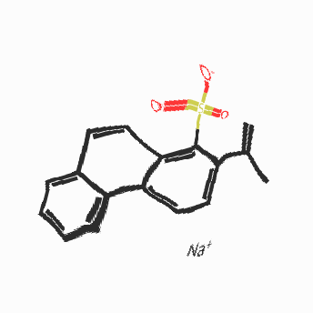 C=C(C)c1ccc2c(ccc3ccccc32)c1S(=O)(=O)[O-].[Na+]